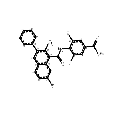 COC(=O)c1cc(F)c(NC(=O)c2c(C)c(-c3ccccc3)cc3ccc(Br)cc23)c(F)c1